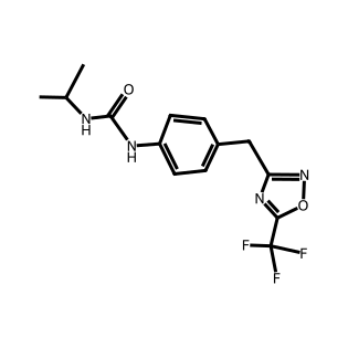 CC(C)NC(=O)Nc1ccc(Cc2noc(C(F)(F)F)n2)cc1